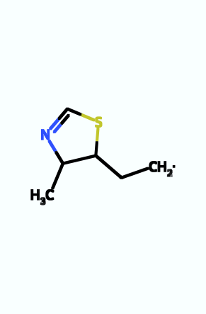 [CH2]CC1SC=NC1C